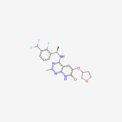 Cc1nc(N[C@H](C)c2cccc(C(F)F)c2F)c2cc(OC3CCOC3)c(=O)[nH]c2n1